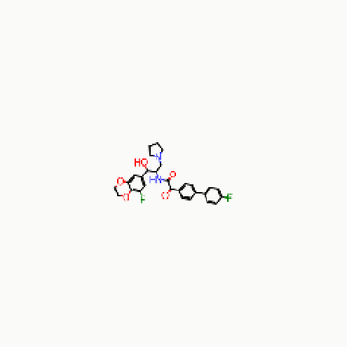 O=C(NC(CN1CCCC1)C(O)c1cc(F)c2c(c1)OCCO2)C(=O)c1ccc(-c2ccc(F)cc2)cc1